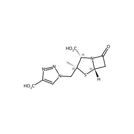 C[C@@]1(Cn2cc(C(=O)O)nn2)S[C@H]2CC(=O)N2[C@H]1C(=O)O